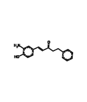 Nc1cc(C=CC(=O)CCc2ccccc2)ccc1O